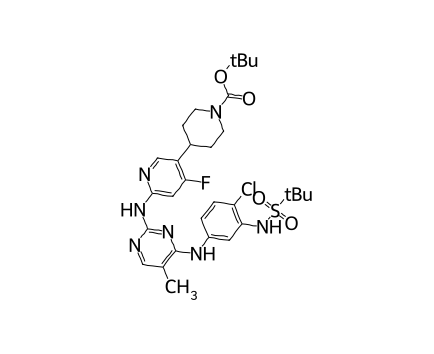 Cc1cnc(Nc2cc(F)c(C3CCN(C(=O)OC(C)(C)C)CC3)cn2)nc1Nc1ccc(Cl)c(NS(=O)(=O)C(C)(C)C)c1